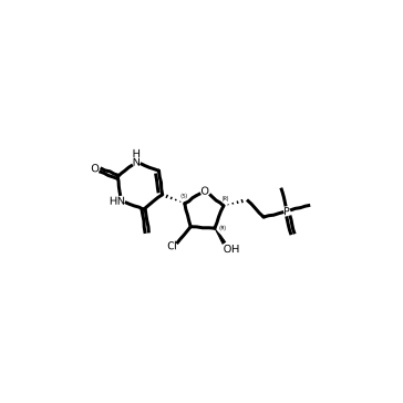 C=C1NC(=O)NC=C1[C@@H]1O[C@H](CCP(=C)(C)C)[C@@H](O)C1Cl